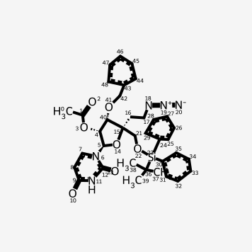 CC(=O)O[C@H]1[C@H](n2ccc(=O)[nH]c2=O)O[C@](CCN=[N+]=[N-])(CO[Si](c2ccccc2)(c2ccccc2)C(C)(C)C)[C@H]1OCc1ccccc1